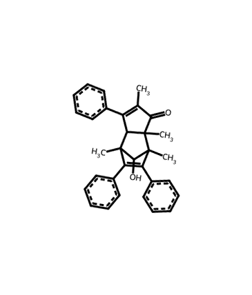 CC1=C(c2ccccc2)C2C3(C)C(c4ccccc4)=C(c4ccccc4)C(C)(C3O)C2(C)C1=O